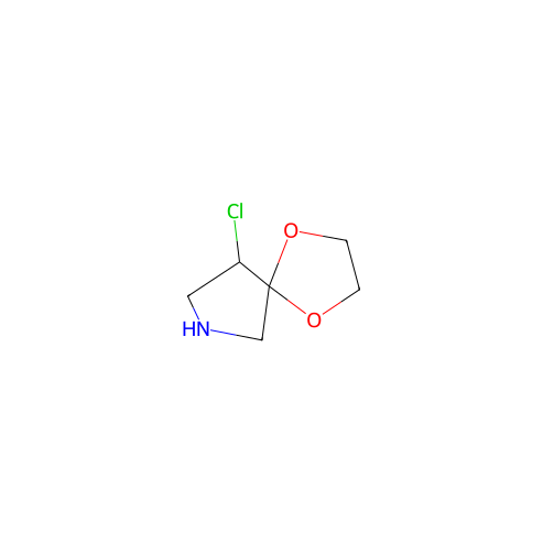 ClC1CNCC12OCCO2